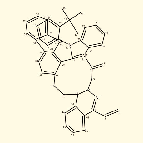 C=CC1=NC2CC(=C)[n+]3c(n(-c4ccccc4C(C)(C)C)c4ccccc43)-c3c(ccc4c3oc3ccccc34)CCC2c2ccccc21